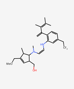 C=C(C(C)=C(C)C)c1ccc(CC(F)(F)F)cc1N/C=C\N(C)C1C(CO)C=C(COC)C1C